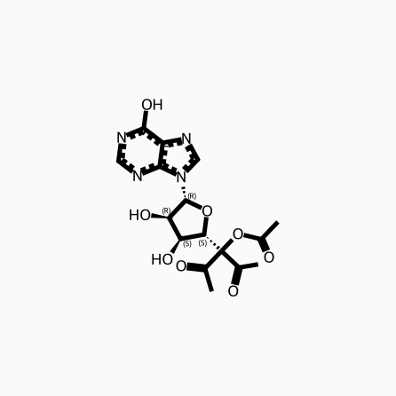 CC(=O)OC(C(C)=O)(C(C)=O)[C@H]1O[C@@H](n2cnc3c(O)ncnc32)[C@H](O)[C@@H]1O